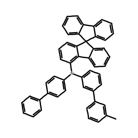 Cc1cccc(-c2cccc(N(c3ccc(-c4ccccc4)cc3)c3cccc4c3-c3ccccc3C43c4ccccc4-c4ccccc43)c2)c1